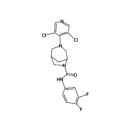 O=C(Nc1ccc(F)c(F)c1)N1CC2CC1CN(c1c(Cl)cncc1Cl)C2